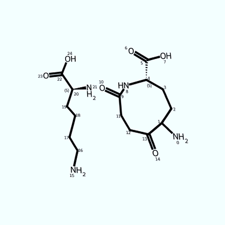 NC1CC[C@@H](C(=O)O)NC(=O)CCC1=O.NCCCC[C@H](N)C(=O)O